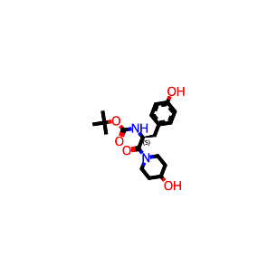 CC(C)(C)OC(=O)N[C@@H](Cc1ccc(O)cc1)C(=O)N1CCC(O)CC1